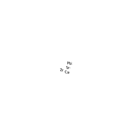 [Ca].[Pb].[Sr].[Zr]